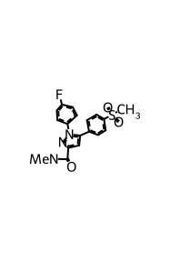 CNC(=O)c1cc(-c2ccc(S(C)(=O)=O)cc2)n(-c2ccc(F)cc2)n1